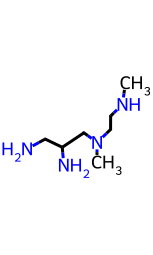 CNCCN(C)CC(N)CN